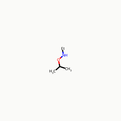 [CH2]CNOC(C)C